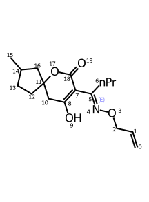 C=CCO/N=C(\CCC)C1=C(O)CC2(CCC(C)C2)OC1=O